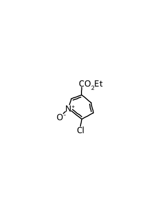 CCOC(=O)c1ccc(Cl)[n+]([O-])c1